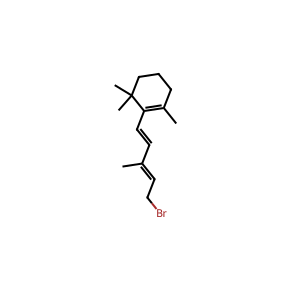 CC1=C(/C=C/C(C)=C/CBr)C(C)(C)CCC1